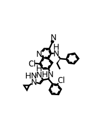 CC[C@@H](Nc1c(C#N)cnc2c(Cl)cc(NC(C3=CN(C4CC4)NN3)c3ccccc3Cl)cc12)c1ccccc1